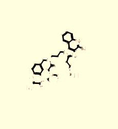 CCN(CC)CC(=O)N(CCCn1c(CCOC)nc2c(N)nc3ccccc3c21)Cc1cccc(OC(C)C(=O)O)c1